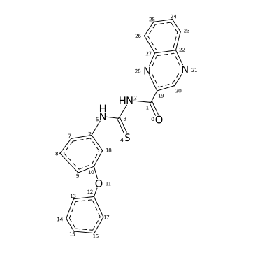 O=C(NC(=S)Nc1cccc(Oc2ccccc2)c1)c1cnc2ccccc2n1